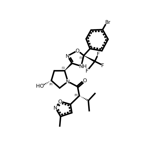 Cc1cc([C@H](C(=O)N2C[C@H](O)C[C@H]2C2=NO[C@@](c3ccc(Br)cc3)(C(F)(F)F)N2)C(C)C)on1